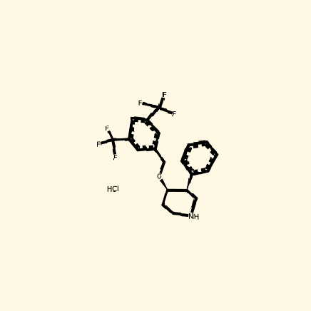 Cl.FC(F)(F)c1cc(CO[C@@H]2CCNC[C@@H]2c2ccccc2)cc(C(F)(F)F)c1